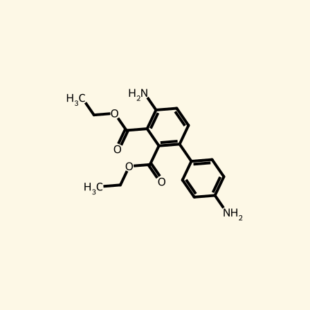 CCOC(=O)c1c(N)ccc(-c2ccc(N)cc2)c1C(=O)OCC